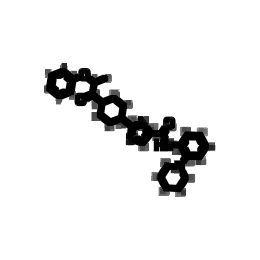 CC(Oc1ccccc1)C(=O)C1CCC(c2nc(C(=O)Nc3ccccc3N3CCCCC3)cs2)CC1